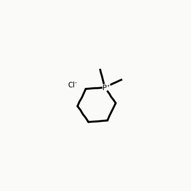 C[P+]1(C)CCCCC1.[Cl-]